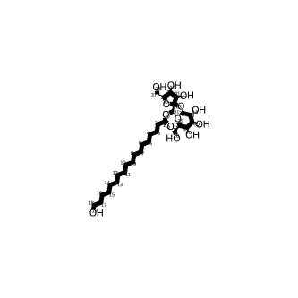 O=C(CCCCCCCCCCCCCCCCCO)OC[C@@]1(O[C@H]2O[C@H](CO)[C@@H](O)[C@H](O)[C@H]2O)O[C@H](CO)[C@@H](O)[C@@H]1O